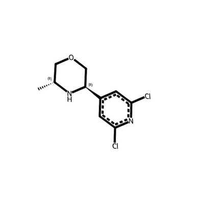 C[C@@H]1COC[C@@H](c2cc(Cl)nc(Cl)c2)N1